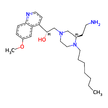 CCCCCCCN1CCN(C[C@H](O)c2ccnc3ccc(OC)cc23)C[C@H]1CCN